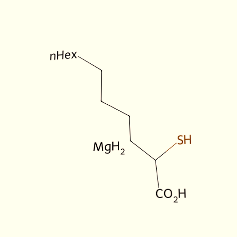 CCCCCCCCCCC(S)C(=O)O.[MgH2]